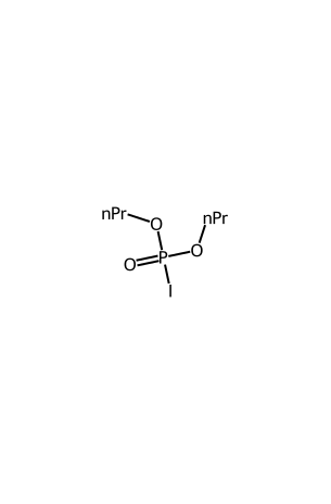 CCCOP(=O)(I)OCCC